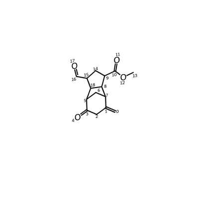 C=C1CC(=O)C2CC1C1C(C(=O)OC)CC(C=O)C21